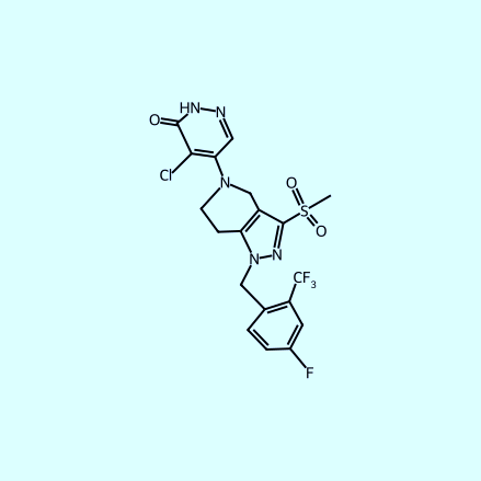 CS(=O)(=O)c1nn(Cc2ccc(F)cc2C(F)(F)F)c2c1CN(c1cn[nH]c(=O)c1Cl)CC2